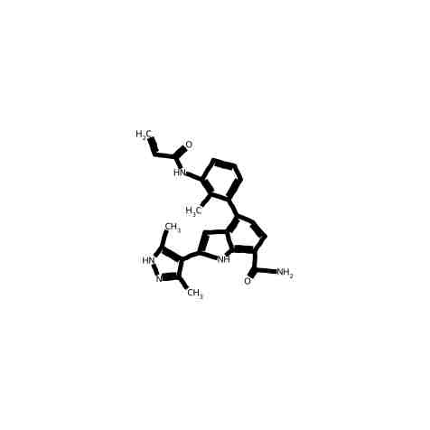 C=CC(=O)Nc1cccc(-c2ccc(C(N)=O)c3[nH]c(-c4c(C)n[nH]c4C)cc23)c1C